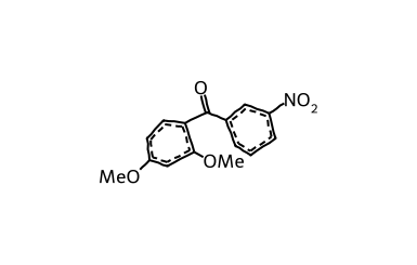 COc1ccc(C(=O)c2cccc([N+](=O)[O-])c2)c(OC)c1